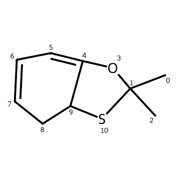 CC1(C)OC2=CC=CCC2S1